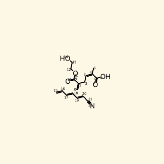 C=C(CC=C(C)C(=O)O)C(=O)OCCO.C=CC=CC=CC#N